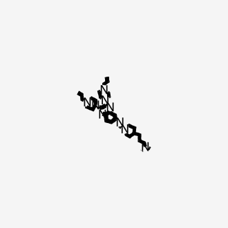 C=CCN1CCN(c2nc3ccc(N=CN4CCC(CCCN(C)C)CC4)cc3nc2N2CCN(CC=C)CC2)CC1